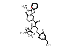 CN1N=C2CCN(C(=O)C(CCc3ccc(CO)cc3F)NC(=O)C(C)(C)N)C[C@@]2(Cc2ccccc2)C1=O